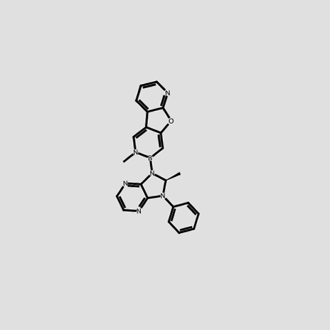 C[C@@H]1N(B2C=c3oc4ncccc4c3=CN2C)c2nccnc2N1c1ccccc1